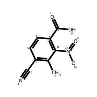 Cc1c(C#N)ccc(C(=O)O)c1[N+](=O)[O-]